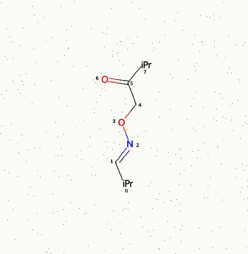 CC(C)/C=N/OCC(=O)C(C)C